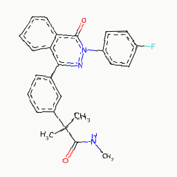 CNC(=O)C(C)(C)c1cccc(-c2nn(-c3ccc(F)cc3)c(=O)c3ccccc23)c1